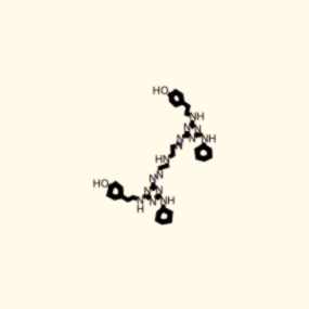 Oc1ccc(CCNc2nc(/N=N/CCNCC/N=N/c3nc(NCCc4ccc(O)cc4)nc(Nc4ccccc4)n3)nc(Nc3ccccc3)n2)cc1